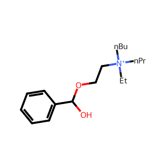 CCCC[N+](CC)(CCC)CCOC(O)c1ccccc1